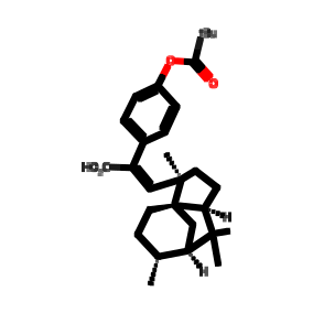 C[C@@H]1CC[C@]23C[C@H]1C(C)(C)[C@@H]2CC[C@]3(C)/C=C(/C(=O)O)c1ccc(OC(=O)C(C)(C)C)cc1